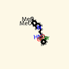 COc1cc2c(cc1OC)CN(CCCNS(=O)(=O)c1ccccc1Br)CC2